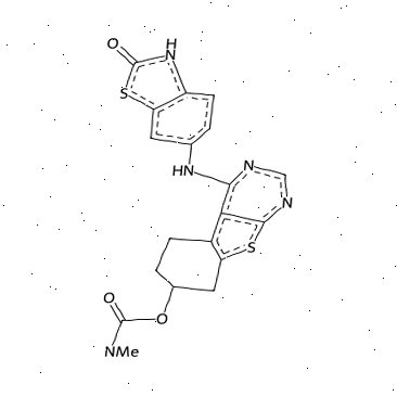 CNC(=O)OC1CCc2c(sc3ncnc(Nc4ccc5[nH]c(=O)sc5c4)c23)C1